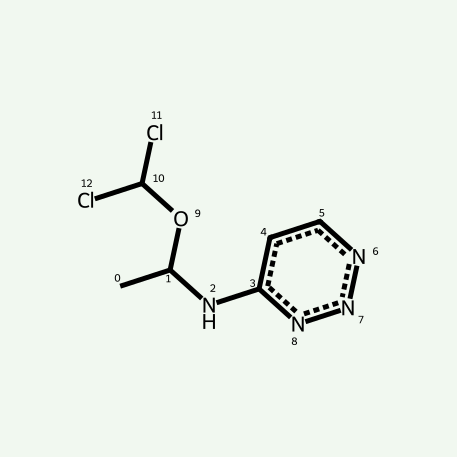 CC(Nc1ccnnn1)OC(Cl)Cl